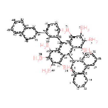 Bc1c(B)c(B)c2c(-c3cc4ccccc4c4ccccc34)c3c(B)c(B)c(B)c(B)c3c(-c3cccc(-c4ccc5ccccc5c4)c3)c2c1B